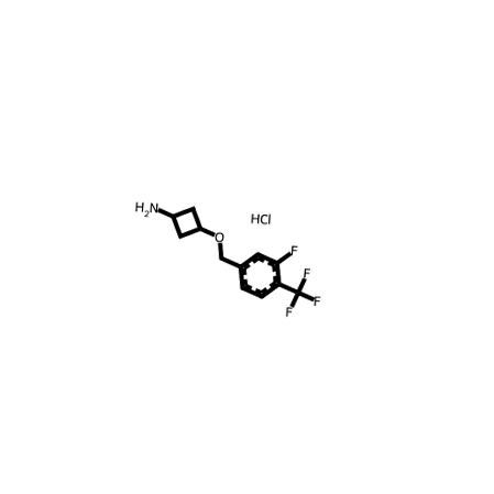 Cl.NC1CC(OCc2ccc(C(F)(F)F)c(F)c2)C1